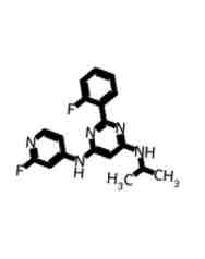 CC(C)Nc1cc(Nc2ccnc(F)c2)nc(-c2ccccc2F)n1